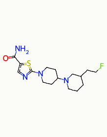 NC(=O)c1cnc(N2CCC(N3CCCC(CCF)C3)CC2)s1